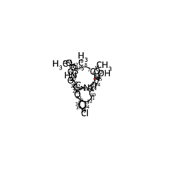 CCO[C@]1(CO)CCC[C@H](C)[C@@H](CCOC)S(=O)(=O)NC(=O)c2ccc3c(c2)N(CCCCc2cc(Cl)ccc2CO3)C[C@@H]2CC[C@H]21